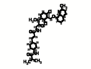 Cc1ccc2cccc(OCc3c(Cl)ccc(N(C)C(=O)CNC(=O)C=Cc4ccc(NC(=O)C(C)C)cc4)c3Cl)c2n1